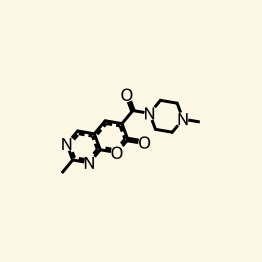 Cc1ncc2cc(C(=O)N3CCN(C)CC3)c(=O)oc2n1